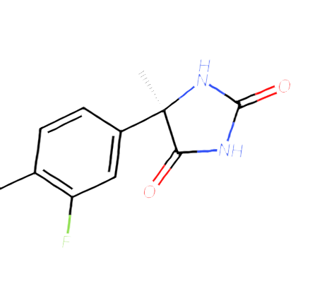 Cc1ccc([C@@]2(C)NC(=O)NC2=O)cc1F